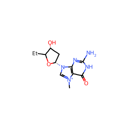 CCC1O[C@@H](n2c[n+](C)c3c(=O)[nH]c(N)nc32)C[C@H]1O